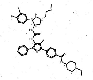 CCN1CCC(NC(=O)c2ccc(-c3nn(-c4ccccc4)c(NC(=O)N[C@@H]4C[C@@H](CCOC)N[C@H]4c4ccc(F)c(F)c4)c3C)cc2)CC1